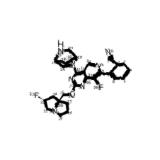 N#Cc1ccccc1-c1ncc2c(N3CC4CCCC3CN4)nc(OC[C@@]34CCCN3C[C@H](F)C4)nc2c1F